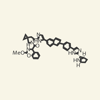 COC(=O)NC(C(=O)N1CC2(CC2)C[C@H]1c1ncc(-c2ccc3cc(-c4ccc(-c5cnc([C@H]6N[C@@H]7CC[C@H]6C7)[nH]5)cc4)ccc3c2)[nH]1)c1ccccc1